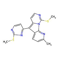 CSc1nccc(-c2c3ccc(C)nc3n3c(SC)nccc23)n1